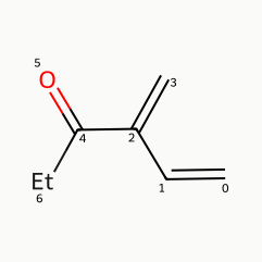 C=CC(=C)C(=O)CC